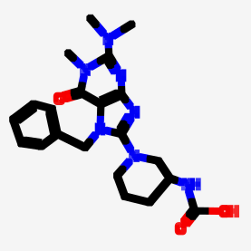 CN(C)c1nc2nc(N3CCCC(NC(=O)O)C3)n(Cc3ccccc3)c2c(=O)n1C